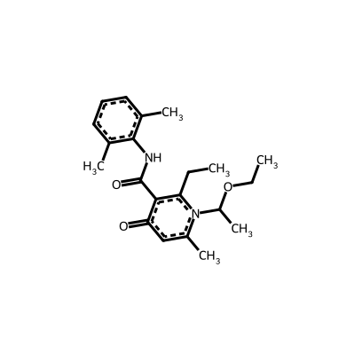 CCOC(C)n1c(C)cc(=O)c(C(=O)Nc2c(C)cccc2C)c1CC